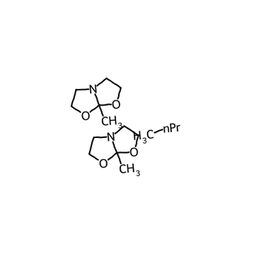 CC12OCCN1CCO2.CC12OCCN1CCO2.CCCC